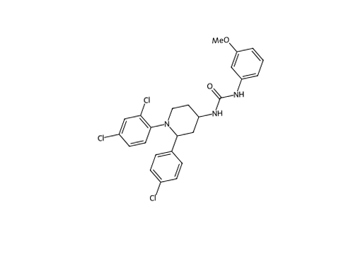 COc1cccc(NC(=O)NC2CCN(c3ccc(Cl)cc3Cl)C(c3ccc(Cl)cc3)C2)c1